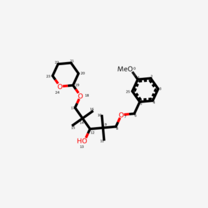 COc1cccc(COCC(C)(C)C(O)C(C)(C)COC2CCCCO2)c1